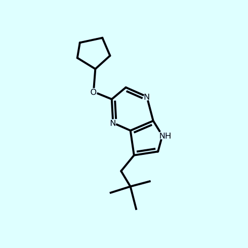 CC(C)(C)Cc1c[nH]c2ncc(OC3CCCC3)nc12